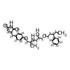 CCC(CCOCC(O)CNC(C)COc1ccc(CC2SC(=O)NC2=O)cc1)c1ccccc1